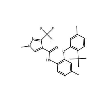 Cc1ccc(NC(=O)c2cn(C)nc2C(F)(F)F)c(Oc2cc(C)ccc2C(C)(C)C)c1